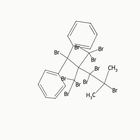 CC(C)(Br)C(Br)(Br)C(C(Br)(Br)Br)(C(Br)(Br)Br)C(Br)(c1ccccc1)c1ccccc1